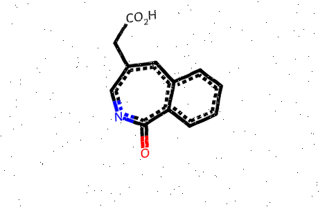 O=C(O)Cc1cnc(=O)c2ccccc2c1